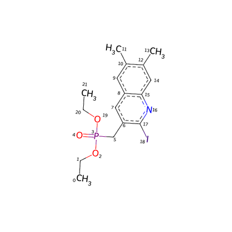 CCOP(=O)(Cc1cc2cc(C)c(C)cc2nc1I)OCC